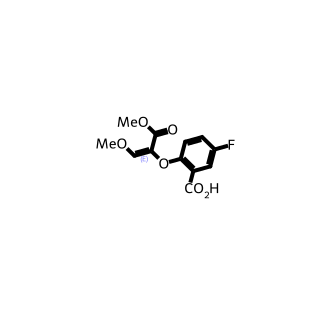 CO/C=C(/Oc1ccc(F)cc1C(=O)O)C(=O)OC